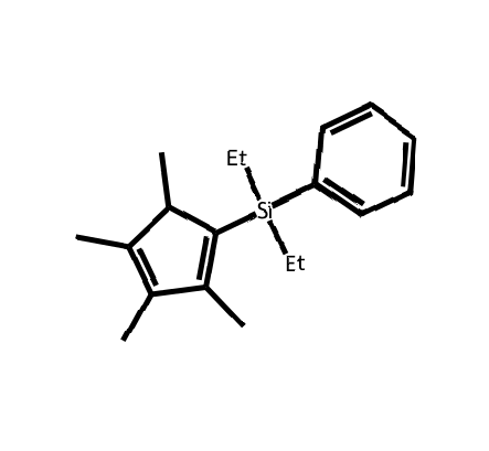 CC[Si](CC)(C1=C(C)C(C)=C(C)C1C)c1ccccc1